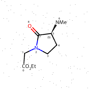 CCOC(=O)CN1CC[C@H](NC)C1=O